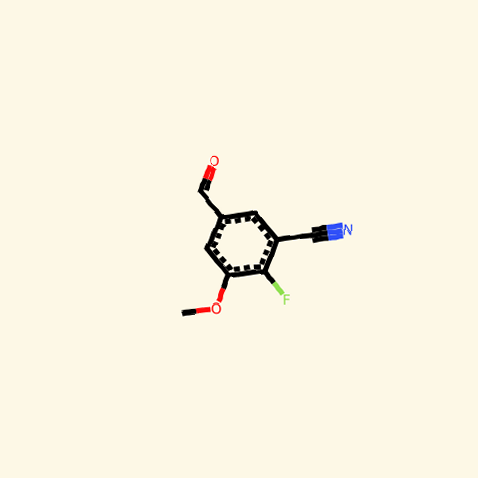 COc1cc(C=O)cc(C#N)c1F